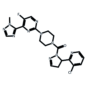 Cn1ncnc1-c1nc(N2CCN(C(=O)N3N=CCC3c3ncccc3Cl)CC2)ncc1F